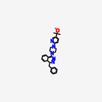 COC(C)(C)c1ccc(N2CCN(C3=C4C=CC=CC4C(Cc4ccccc4)N=N3)CC2)nc1